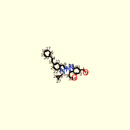 O=Cc1cc2c3c(n(-c4cc5cc(C=Cc6ccccc6)ccc5n4CC4CC4)nc3c1)CCO2